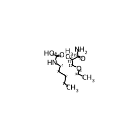 CCCCCNC(=O)O.CCOCC(C)C(N)=O